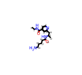 CCNC(=O)c1ccnc(CC(C)NC(=O)CCCCN)c1